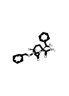 CC(c1ccccc1)[C@]1(C(N)=O)CC[C@@H]2CN1C(=O)N2OCc1ccccc1